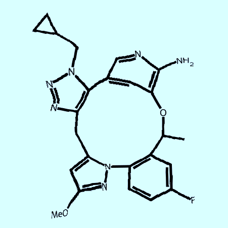 COc1cc2n(n1)-c1ccc(F)cc1C(C)Oc1cc(cnc1N)-c1c(nnn1CC1CC1)C2